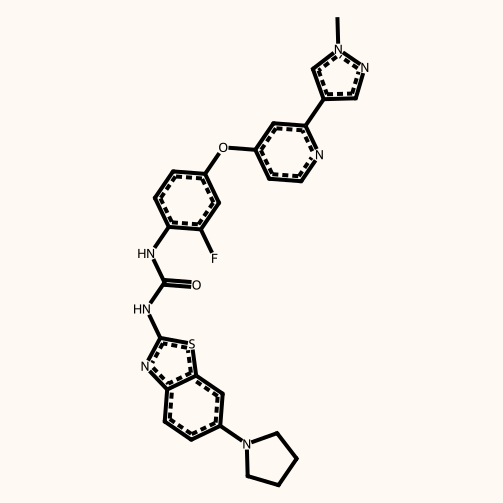 Cn1cc(-c2cc(Oc3ccc(NC(=O)Nc4nc5ccc(N6CCCC6)cc5s4)c(F)c3)ccn2)cn1